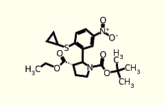 CCOC(=O)[C@H]1CCN(C(=O)OC(C)(C)C)C1c1cc([N+](=O)[O-])ccc1SC1CC1